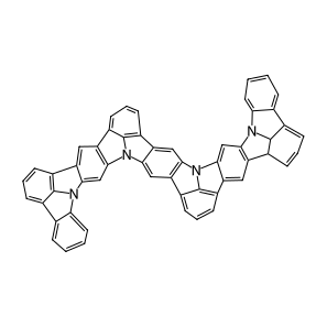 C1=CC2c3cc4c5cccc6c7cc8c(cc7n(c4cc3N3c4ccccc4C(=C1)C23)c56)c1cccc2c3cc4c5cccc6c7ccccc7n(c4cc3n8c12)c65